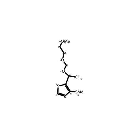 COCCOCOC(C)c1sccc1SC